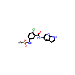 CCCS(=O)(=O)Nc1ccc(Cl)c(C(=O)Nc2cnc3[nH]ccc3c2)c1